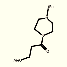 COCCC(=O)N1CCN(C(C)(C)C)CC1